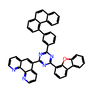 c1cc(-c2nc(-c3cc4cccnc4c4ncccc34)nc(-c3cccc4c3oc3ccccc34)n2)cc(-c2cccc3ccc4ccccc4c23)c1